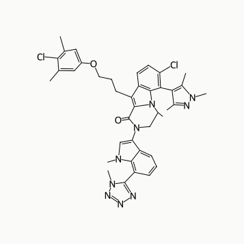 Cc1cc(OCCCc2c3n(c4c(-c5c(C)nn(C)c5C)c(Cl)ccc24)C(C)CN(c2cn(C)c4c(-c5nnnn5C)cccc24)C3=O)cc(C)c1Cl